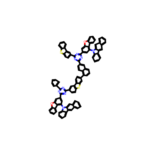 c1ccc(-c2nc(-c3cc(-n4c5ccccc5c5cc6ccccc6cc54)c4c(c3)oc3ccccc34)nc(-c3ccc4sc5cc(-c6cccc7cc(-c8nc(-c9cc(-n%10c%11ccccc%11c%11cc%12ccccc%12cc%11%10)c%10c(c9)oc9ccccc9%10)nc(-c9ccc%10sc%11ccccc%11c%10c9)n8)ccc67)ccc5c4c3)n2)cc1